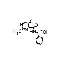 Cc1ncc(Cl)c(C(=O)N[C@H](CO)c2ccccc2)n1